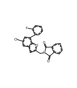 O=C1c2ccccc2C(=O)N1Cc1cc2cc(Cl)cc(-c3ccccc3F)c2o1